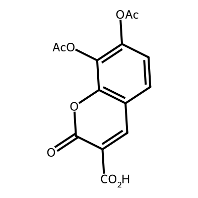 CC(=O)Oc1ccc2cc(C(=O)O)c(=O)oc2c1OC(C)=O